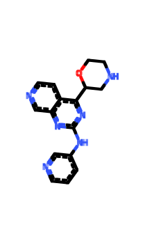 c1cncc(Nc2nc(C3CNCCO3)c3ccncc3n2)c1